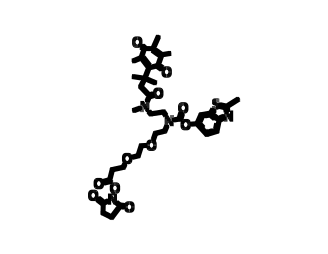 CC1=C(C)C(=O)C(C(C)(C)CC(=O)N(C)CCN(CCOCCOCCC(=O)ON2C(=O)CCC2=O)C(=O)Oc2ccc3nc(C)sc3c2)=C(C)C1=O